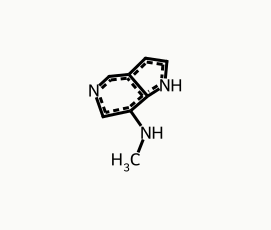 CNc1cncc2cc[nH]c12